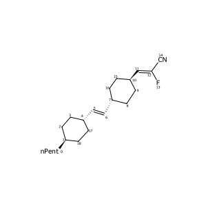 CCCCC[C@H]1CC[C@H](C=C[C@H]2CC[C@H](C=C(F)C#N)CC2)CC1